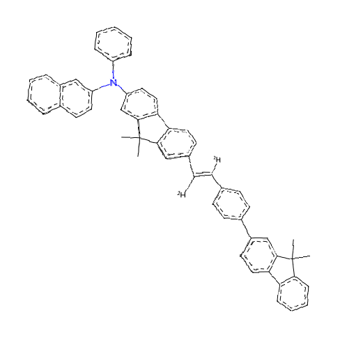 [2H]/C(=C(/[2H])c1ccc2c(c1)C(C)(C)c1cc(N(c3ccccc3)c3ccc4ccccc4c3)ccc1-2)c1ccc(-c2ccc3c(c2)C(C)(C)c2ccccc2-3)cc1